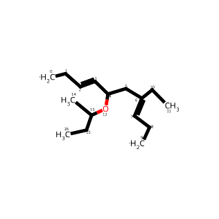 [CH2]CC=CC(CC(=CC[CH2])CC)OC(C)CC